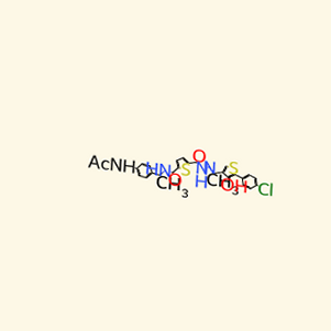 CC(=O)Nc1ccc(C(C)NC(=O)c2ccc(C(=O)N/N=C(\C)c3csc(-c4ccc(Cl)cc4)c3O)s2)cc1